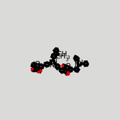 CC1(C)c2ccccc2-c2ccc(-c3cc(-c4ccc(-c5ccc6c(c5)Oc5ccccc5C65c6ccccc6-c6ccccc65)cc4)nc(-c4ccc(-c5ccc6c(c5)C5(c7ccccc7Oc7cc(-c8cccc(-c9cc(-c%10ccccc%10)nc(-c%10ccccc%10)n9)c8)ccc75)c5ccccc5-6)cc4)n3)cc21